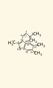 C=C(C)/C=C\c1c(C)sc2cc(C)c(C)cc12